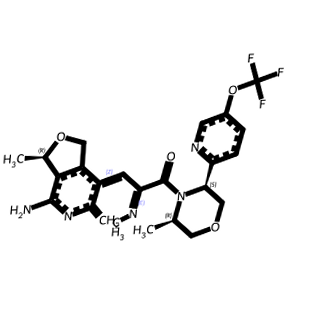 C=c1nc(N)c2c(/c1=C/C(=N\C)C(=O)N1[C@H](C)COC[C@@H]1c1ccc(OC(F)(F)F)cn1)CO[C@@H]2C